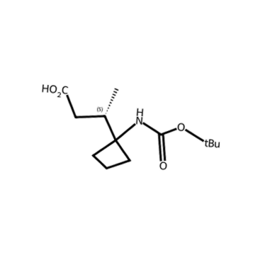 C[C@@H](CC(=O)O)C1(NC(=O)OC(C)(C)C)CCC1